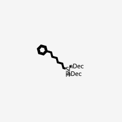 CCCCCCCCCC[SiH](CCCCCCCCCC)CCCCCCc1ccccc1